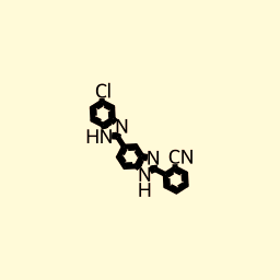 N#Cc1ccccc1-c1nc2cc(-c3nc4cc(Cl)ccc4[nH]3)ccc2[nH]1